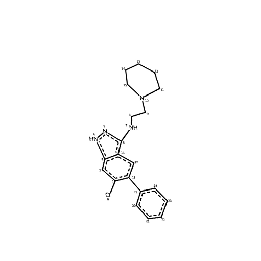 Clc1cc2[nH]nc(NCCN3CCCCC3)c2cc1-c1ccccc1